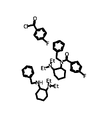 CCN(CC)C1CCCCC1N(Cc1ccccc1)C(=O)c1ccc(F)cc1.CCN(CC)C1CCCCC1NCc1ccccc1.O=C(Cl)c1ccc(F)cc1